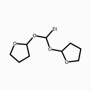 CCC(OC1CCCO1)OC1CCCO1